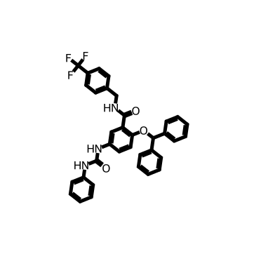 O=C(Nc1ccccc1)Nc1ccc(OC(c2ccccc2)c2ccccc2)c(C(=O)NCc2ccc(C(F)(F)F)cc2)c1